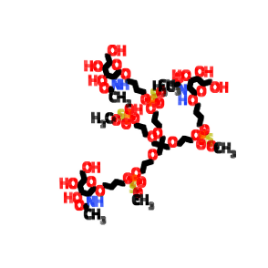 COSP(=O)(O)OCCCOCC(COCCCOP(=O)(OCCCCOC1OC(CO)C(O)C(O)C1NC(C)=O)SOC)(COCCCOP(=O)(OCCCCOC1OC(CO)C(O)C(O)C1NC(C)=O)SOC)COCCCOP(=O)(OCCCCOC1OC(CO)C(O)C(O)C1NC(C)=O)SOC